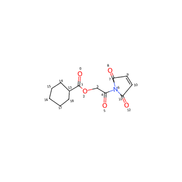 O=C(OCC(=O)N1C(=O)C=CC1=O)C1CCCCC1